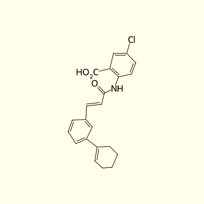 O=C(C=Cc1cccc(C2=CCCCC2)c1)Nc1ccc(Cl)cc1C(=O)O